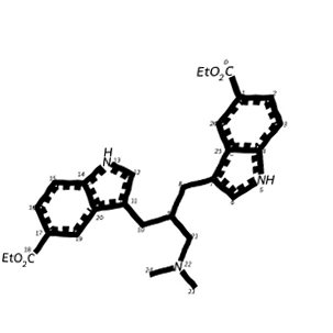 CCOC(=O)c1ccc2[nH]cc(CC(Cc3c[nH]c4ccc(C(=O)OCC)cc34)CN(C)C)c2c1